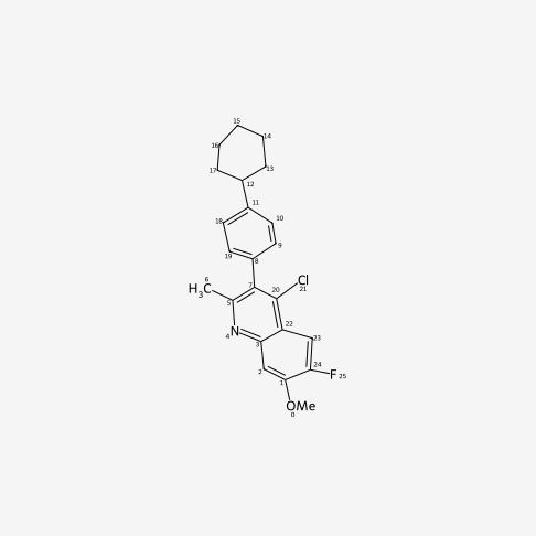 COc1cc2nc(C)c(-c3ccc(C4CCCCC4)cc3)c(Cl)c2cc1F